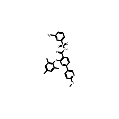 COc1ccc(-c2ccc(C(=O)NS(=O)(=O)c3cccc(N)n3)c(Oc3c(C)cc(C)cc3C)n2)cn1